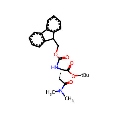 CN(C)C(=O)C[C@H](NC(=O)OCC1c2ccccc2-c2ccccc21)C(=O)OC(C)(C)C